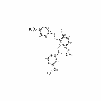 O=C(O)c1ccc(CCn2c(COc3cccc(OC(F)(F)F)c3)c(C3CC3)ccc2=O)cc1